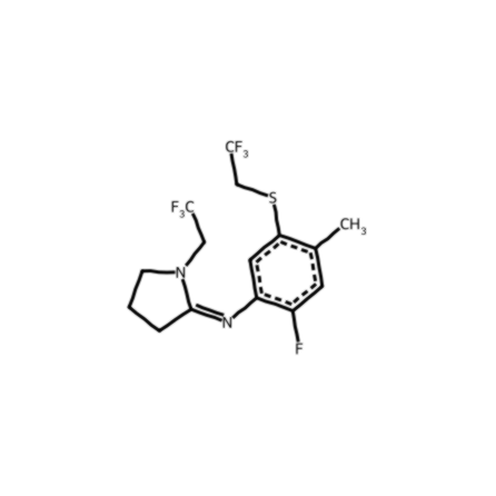 Cc1cc(F)c(N=C2CCCN2CC(F)(F)F)cc1SCC(F)(F)F